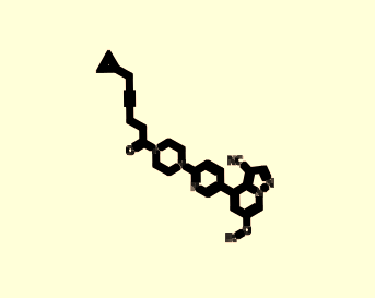 CCOc1cc(-c2ccc(N3CCN(C(=O)CCC#CCC4CC4)CC3)nc2)c2c(C#N)cnn2c1